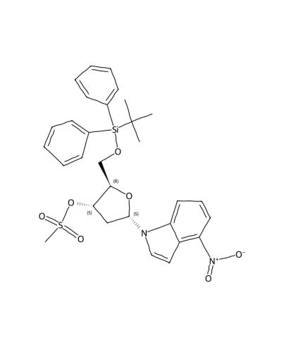 CC(C)(C)[Si](OC[C@H]1O[C@H](n2ccc3c([N+](=O)[O-])cccc32)C[C@@H]1OS(C)(=O)=O)(c1ccccc1)c1ccccc1